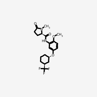 COc1ccc(O[C@H]2CCC[C@H](C(F)(F)F)C2)cc1NC(=O)[C@H]1CCC(=O)N1C